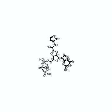 Cn1nccc1NC(=O)C1OC2C(COP(=O)(O)OP(=O)(O)OP(=O)(O)O)OC(n3cnc4c(=S)[nH]c(N)nc43)C2O1